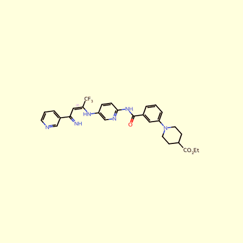 CCOC(=O)C1CCN(c2cccc(C(=O)Nc3ccc(N/C(=C\C(=N)c4cccnc4)C(F)(F)F)cn3)c2)CC1